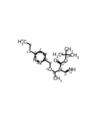 CCSc1ccc(COC(C)N(C=N)C(=O)OC(C)(C)C)nn1